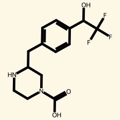 O=C(O)N1CCNC(Cc2ccc(C(O)C(F)(F)F)cc2)C1